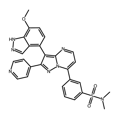 COc1ccc(-c2c(-c3ccncc3)nn3c(-c4cccc(S(=O)(=O)N(C)C)c4)ccnc23)c2cn[nH]c12